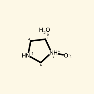 O.[O-][NH+]1CCNC1